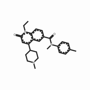 CCn1c(=O)cc(C2CCN(C)CC2)c2cc(C(=O)N(C)c3ccc(C)cc3)ccc21